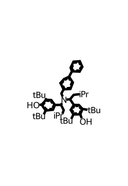 CC(C)CC(c1cc(C(C)(C)C)c(O)c(C(C)(C)C)c1)N(Cc1ccc(-c2ccccc2)cc1)C(CC(C)C)c1cc(C(C)(C)C)c(O)c(C(C)(C)C)c1